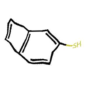 Sc1ccc2c(c1)C=C2